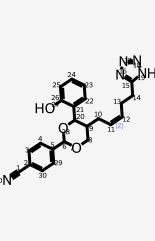 N#Cc1ccc(C2OCC(C/C=C\CCc3nnn[nH]3)C(c3ccccc3O)O2)cc1